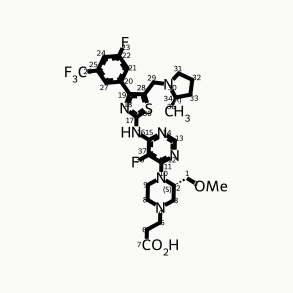 COC[C@@H]1CN(CCC(=O)O)CCN1c1ncnc(Nc2nc(-c3cc(F)cc(C(F)(F)F)c3)c(CN3CCC[C@H]3C)s2)c1F